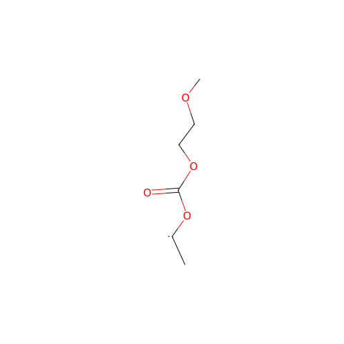 C[CH]OC(=O)OCCOC